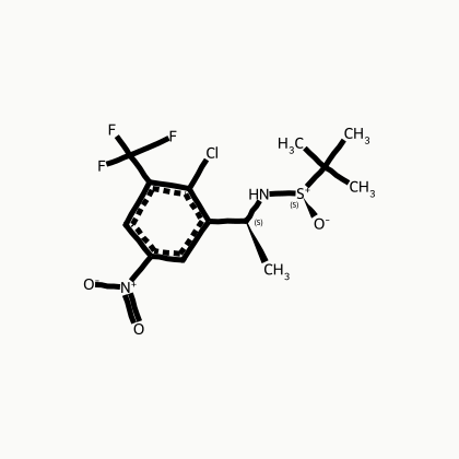 C[C@H](N[S@+]([O-])C(C)(C)C)c1cc([N+](=O)[O-])cc(C(F)(F)F)c1Cl